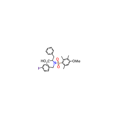 COc1cc(C)c(S(=O)(=O)N(Cc2ccc(I)cc2)C(Cc2ccccc2)C(=O)O)c(C)c1C